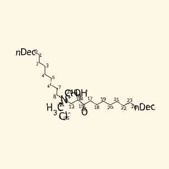 CCCCCCCCCCCCCCCCCC[N+](C)(C)CC(O)C(=O)CCCCCCCCCCCCCCCCC.[Cl-]